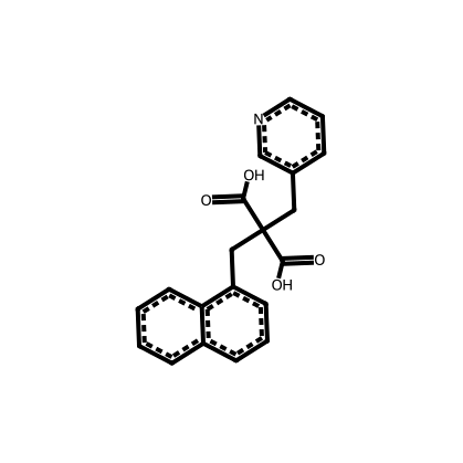 O=C(O)C(Cc1cccnc1)(Cc1cccc2ccccc12)C(=O)O